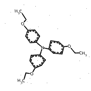 CCOc1ccc(N(c2ccc(OCC)cc2)c2ccc(OCC)cc2)cc1